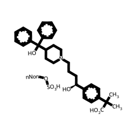 CC(C)(C(=O)O)c1ccc([C@@H](O)CCCN2CCC(C(O)(c3ccccc3)c3ccccc3)CC2)cc1.CCCCCCCCCOS(=O)(=O)O